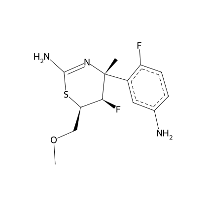 COC[C@H]1SC(N)=N[C@](C)(c2cc(N)ccc2F)[C@H]1F